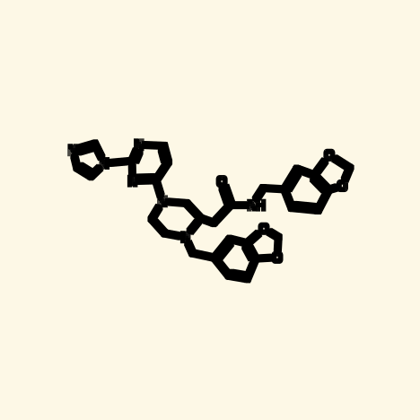 O=C(CC1CN(c2ccnc(-n3ccnc3)n2)CCN1Cc1ccc2c(c1)OCO2)NCc1ccc2c(c1)OCO2